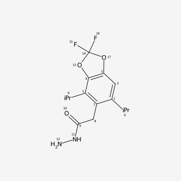 CC(C)c1cc2c(c(C(C)C)c1CC(=O)NN)OC(F)(F)O2